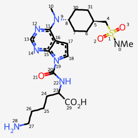 CNS(=O)(=O)C[C@H]1CC[C@H](N(C)c2ncnc3c2ccn3C(=O)NC(CCCCN)C(=O)O)CC1